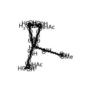 COP(=O)(O)OCCCCCCCCCCCCNC(=O)CCCCCCC(=O)NC(COCCC(=O)NCCOCCOCCOC1CC(CO)C(O)C(O)C1NC(C)=O)(COCCC(=O)NCCOCCOCCOC1CC(CO)C(O)C(O)C1NC(C)=O)COCCC(=O)NCCOCCOCCOC1OC(CO)C(O)C(O)C1C